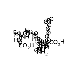 CC(C)[C@H](NC(=O)[C@H](CCC(=O)O)NC(=O)CCOCCOCCOCCOCCN1C(=O)C=CC1=O)C(=O)N[C@@H](CCCNC(N)=O)C(=O)Nc1ccc(COC(=O)NCCOc2cnc3ccc(-c4[nH]c(CNc5ccc(C(=O)O)cc5)nc4-c4cccc(C(F)F)n4)cc3n2)cc1